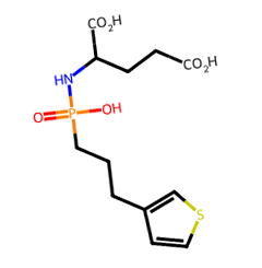 O=C(O)CCC(NP(=O)(O)CCCc1ccsc1)C(=O)O